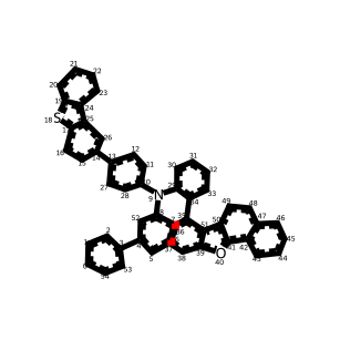 c1ccc(-c2cccc(N(c3ccc(-c4ccc5sc6ccccc6c5c4)cc3)c3ccccc3-c3cccc4oc5c6ccccc6ccc5c34)c2)cc1